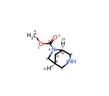 COC(=O)N1C[C@@H]2CNC[C@H]1C2